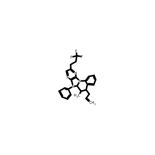 C=CCC1c2ccccc2N2c3nc(CCC(F)(F)F)cnc3N(c3ccccc3)C2C1C